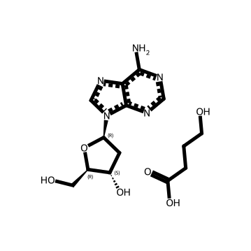 Nc1ncnc2c1ncn2[C@H]1C[C@H](O)[C@@H](CO)O1.O=C(O)CCCO